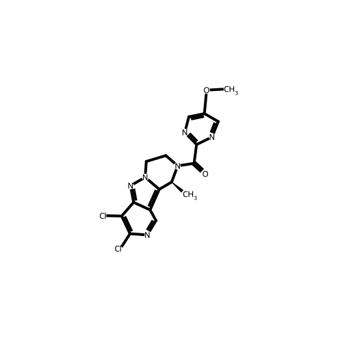 COc1cnc(C(=O)N2CCn3nc4c(Cl)c(Cl)ncc4c3[C@@H]2C)nc1